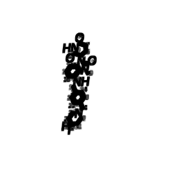 Cn1c(=O)n(C2CCC(=O)NC2=O)c2cccc(NCc3ccc(CN4CCC(F)(F)CC4)cc3)c21